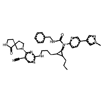 CCCC1/C(=[N+](/C(=O)NCc2ccccc2)c2ccc(-c3cnn(C)c3)cn2)C1CCCNc1ncc(C#N)c(N2CCC3(CCNC3=O)C2)n1